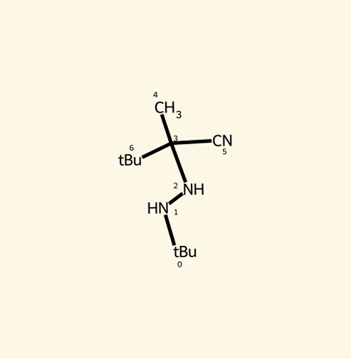 CC(C)(C)NNC(C)(C#N)C(C)(C)C